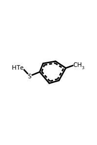 Cc1ccc(S[TeH])cc1